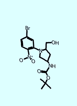 CC(C)(C)OC(=O)NC1CC(CO)N(c2cc(Br)ccc2[N+](=O)[O-])C1